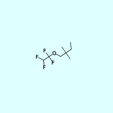 CCC(C)(C)COC(F)(F)C(F)F